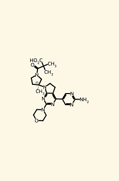 CC(C)(C(=O)O)C(=O)N1CC[C@](C)(N2CCc3c(-c4cnc(N)nc4)nc(N4CCOCC4)nc32)C1